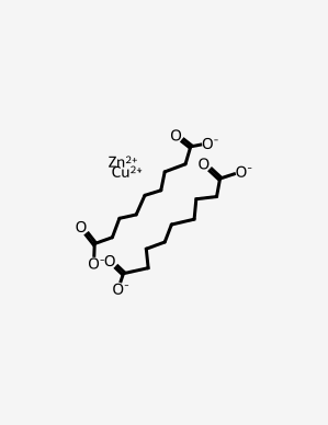 O=C([O-])CCCCCCCC(=O)[O-].O=C([O-])CCCCCCCC(=O)[O-].[Cu+2].[Zn+2]